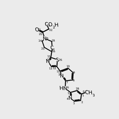 Cc1ccnc(Nc2cccc(-c3cnc(C4CCN(C(=O)CC(=O)O)CC4)s3)n2)c1